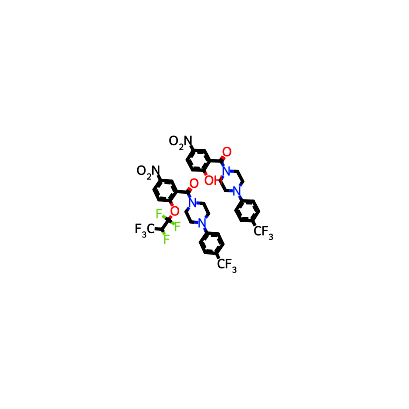 O=C(c1cc([N+](=O)[O-])ccc1O)N1CCN(c2ccc(C(F)(F)F)cc2)CC1.O=C(c1cc([N+](=O)[O-])ccc1OC(F)(F)C(F)C(F)(F)F)N1CCN(c2ccc(C(F)(F)F)cc2)CC1